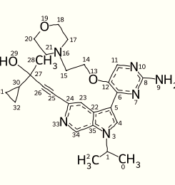 CC(C)n1cc(-c2nc(N)ncc2OCCN2CCOCC2)c2cc(C#CC(C)(O)C3CC3)ncc21